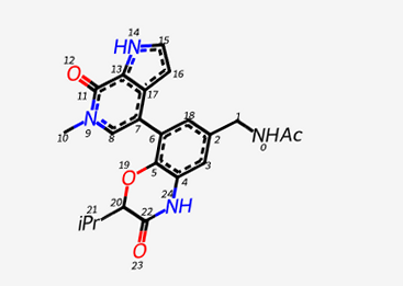 CC(=O)NCc1cc2c(c(-c3cn(C)c(=O)c4[nH]ccc34)c1)OC(C(C)C)C(=O)N2